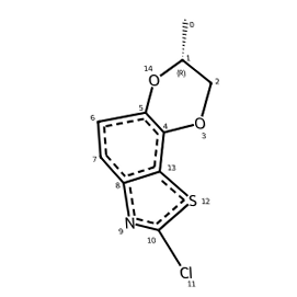 [CH2][C@@H]1COc2c(ccc3nc(Cl)sc23)O1